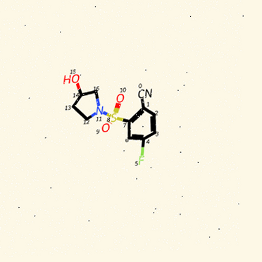 N#Cc1ccc(F)cc1S(=O)(=O)N1CCC(O)C1